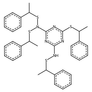 CC(SNc1nc(SC(C)c2ccccc2)nc(N(SC(C)c2ccccc2)SC(C)c2ccccc2)n1)c1ccccc1